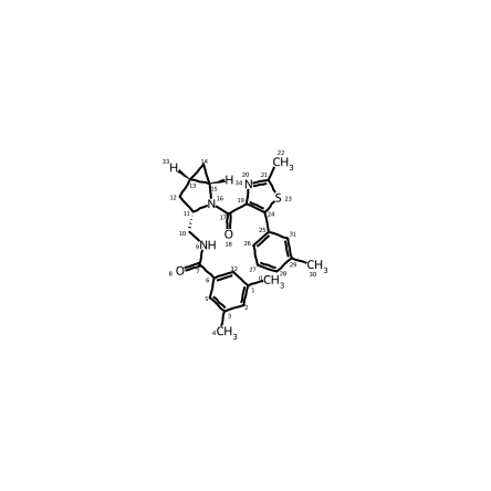 Cc1cc(C)cc(C(=O)NC[C@@H]2C[C@@H]3C[C@@H]3N2C(=O)c2nc(C)sc2-c2cccc(C)c2)c1